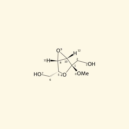 CO[C@@]1(CO)O[C@H](CO)[C@@H]2O[C@@H]21